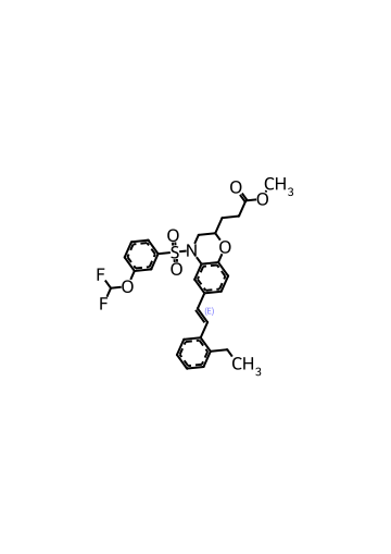 CCc1ccccc1/C=C/c1ccc2c(c1)N(S(=O)(=O)c1cccc(OC(F)F)c1)CC(CCC(=O)OC)O2